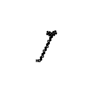 C[Si](C)(C)O[Si](C)(CCCOCCOCCOCCOCCO)O[Si](C)(C)C